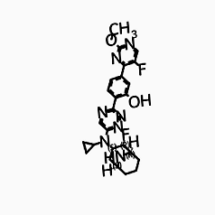 COc1ncc(F)c(-c2ccc(-c3ncc(N(C4CC4)[C@H]4C[C@@H]5CCC[C@@H](N5)[C@H]4F)nn3)c(O)c2)n1